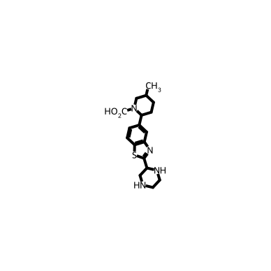 CC1CCC(c2ccc3sc(C4CNCCN4)nc3c2)N(C(=O)O)C1